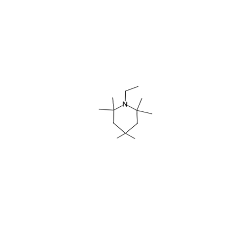 CCN1C(C)(C)CC(C)(C)CC1(C)C